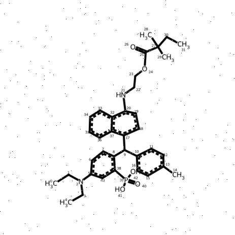 CCN(CC)c1ccc(C(c2ccc(C)cc2)c2ccc(NCCOC(=O)C(C)(C)CC)c3ccccc23)c(P(=O)(O)O)c1